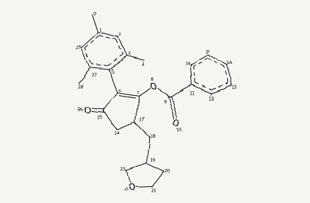 Cc1cc(C)c(C2=C(OC(=O)c3ccccc3)C(CC3CCOC3)CC2=O)c(C)c1